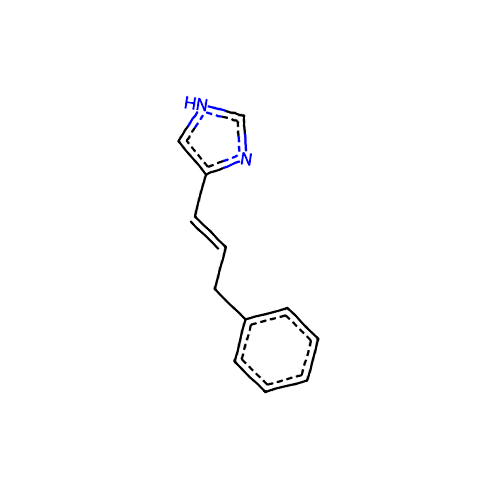 C(=Cc1c[nH]cn1)Cc1ccccc1